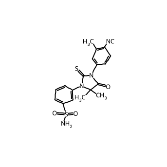 [C-]#[N+]c1ccc(N2C(=O)C(C)(C)N(c3cccc(S(N)(=O)=O)c3)C2=S)cc1C